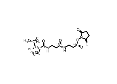 C[13CH](C)N1[13CH2][13CH2][13CH2][13CH]1C(=O)[15NH]CC[13C](=O)[15NH]CC[13C](=O)ON1C(=O)CCC1=O